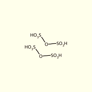 O=S(=O)(O)OS(=O)(=O)O.O=S(=O)(O)OS(=O)(=O)O